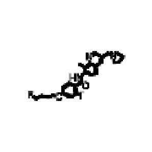 Cc1c(NC(=O)c2ccc(OCCCCF)cc2F)ccc2cc(CN3CCCC3)cnc12